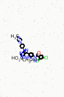 CC(=O)O.COc1cc(-c2nn(C3CCC(N4CCN(C)CC4)CC3)c3ncnc(N)c23)ccc1N[C@@H]1COc2cc(Cl)cc(Cl)c21